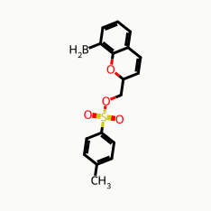 Bc1cccc2c1OC(COS(=O)(=O)c1ccc(C)cc1)C=C2